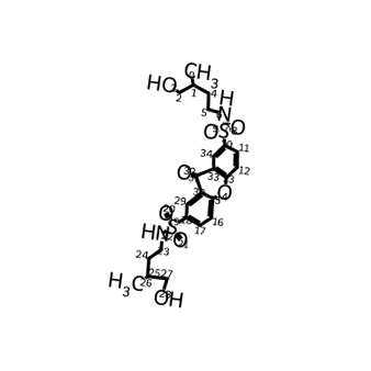 CC(CO)CCNS(=O)(=O)c1ccc2oc3ccc(S(=O)(=O)NCCC(C)CO)cc3c(=O)c2c1